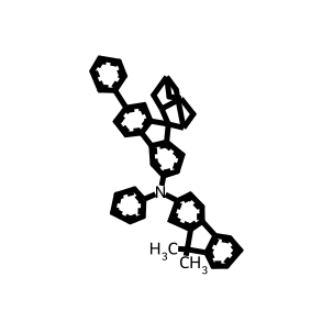 CC1(C)c2ccccc2-c2ccc(N(c3ccccc3)c3ccc4c(c3)-c3ccc(-c5ccccc5)cc3C43C4CC5CC(C4)C3C5)cc21